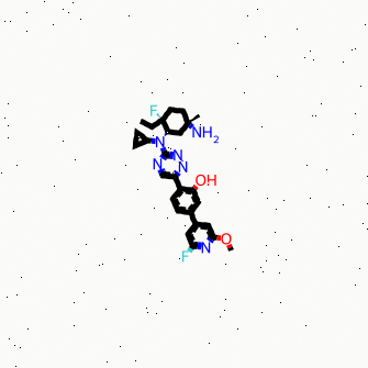 CC[C@@]1(F)CC[C@](C)(N)C[C@@H]1N(c1ncc(-c2ccc(-c3cc(F)nc(OC)c3)cc2O)nn1)C1CC1